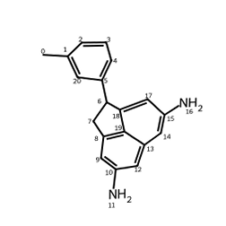 Cc1cccc(C2Cc3cc(N)cc4cc(N)cc2c34)c1